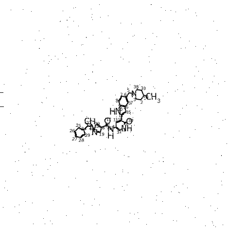 CC1CCN(Cc2ccc3[nH]c(-c4cc(NC(=O)c5cnn([C@@H](C)c6ccccc6)c5)c[nH]c4=O)cc3c2)CC1